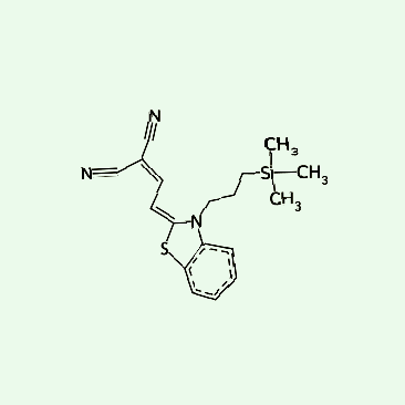 C[Si](C)(C)CCCN1C(=CC=C(C#N)C#N)Sc2ccccc21